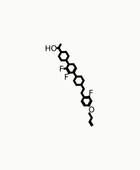 C=CCCOc1ccc(CCC2CCC(C3=CCC(C4CCC(C(C)O)CC4)C(F)=C3F)CC2)c(F)c1